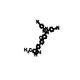 C[C@H]1C[C@H]2C[C@@H](I)CC(c3ccc(-c4ccc5c(c4)oc4cc(-c6nc(-c7ccc(C#N)cc7)nc(-c7ccc(C#N)cc7)n6)ccc45)cc3)(C1)C2